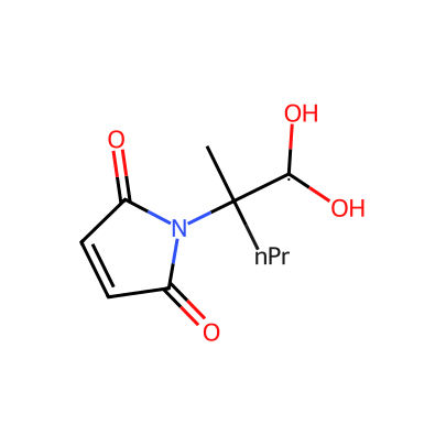 CCCC(C)([C](O)O)N1C(=O)C=CC1=O